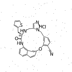 Cl.N#Cc1ccc2cc1Oc1ccc3cccc(c3c1)NC(=O)[C@@H](Cc1cccs1)NCc1cncn1C2